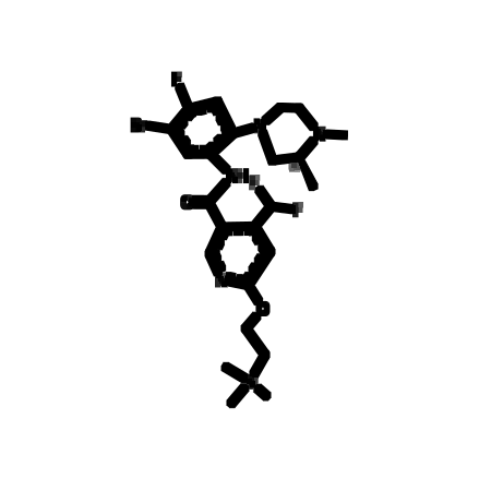 C[C@H]1CN(c2cc(F)c(Br)cc2NC(=O)c2cnc(OCC[Si](C)(C)C)cc2C(F)F)CCN1C